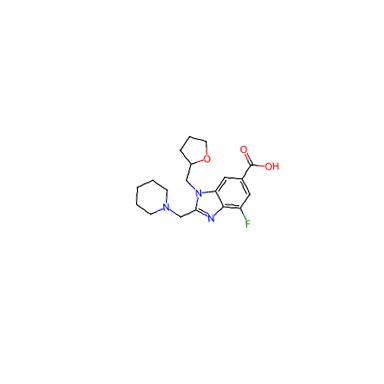 O=C(O)c1cc(F)c2nc(CN3CCCCC3)n(CC3CCCO3)c2c1